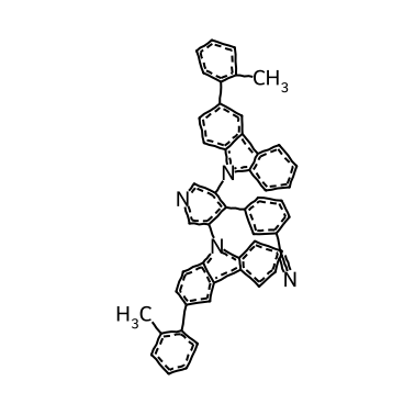 Cc1ccccc1-c1ccc2c(c1)c1ccccc1n2-c1cncc(-n2c3ccccc3c3cc(-c4ccccc4C)ccc32)c1-c1cccc(C#N)c1